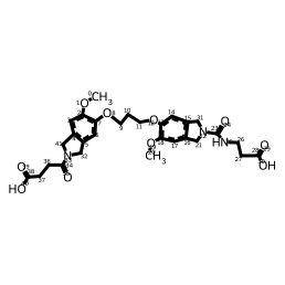 COc1cc2c(cc1OCCCOc1cc3c(cc1OC)CN(C(=O)NCCC(=O)O)C3)CN(C(=O)CCC(=O)O)C2